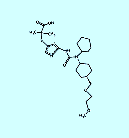 COCCOC[C@H]1CC[C@H](N(C(=O)Nc2ncc(SC(C)(C)C(=O)O)s2)C2CCCCC2)CC1